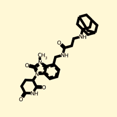 Cn1c(=O)n(C2CCC(=O)NC2=O)c2cccc(CNC(=O)CCNC34CC5CC(CC(C5)C3)C4)c21